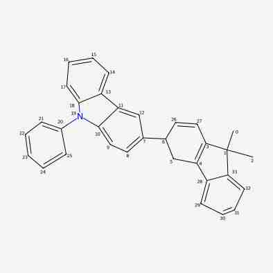 CC1(C)C2=C(CC(c3ccc4c(c3)c3ccccc3n4-c3ccccc3)C=C2)c2ccccc21